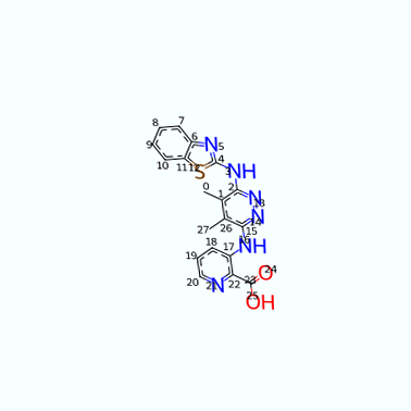 Cc1c(Nc2nc3ccccc3s2)nnc(Nc2cccnc2C(=O)O)c1C